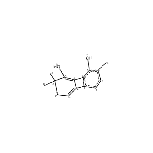 Cc1ccc2c(c1O)C1=C(O)C(C)(C)CC=C12